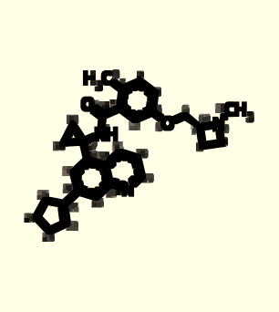 Cc1ccc(OC[C@@H]2CCN2C)cc1C(=O)NC1(c2cc(C3=CCCC3)cc3ncccc23)CC1